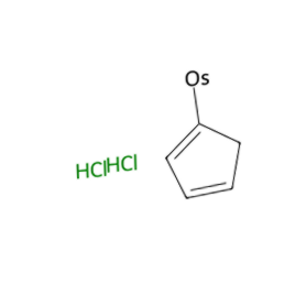 Cl.Cl.[Os][C]1=CC=CC1